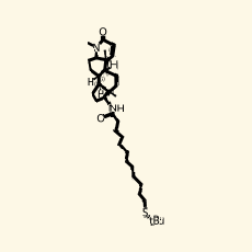 CN1C(=O)C=C[C@@]2(C)C1CC[C@@H]1[C@H]2CC[C@]2(C)C(NC(=O)CCCCCCCCCCCSC(C)(C)C)CC[C@@H]12